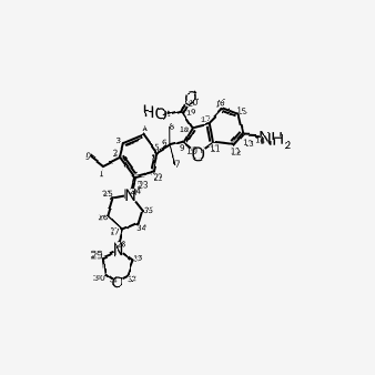 CCc1ccc(C(C)(C)c2oc3cc(N)ccc3c2C(=O)O)cc1N1CCC(N2CCOCC2)CC1